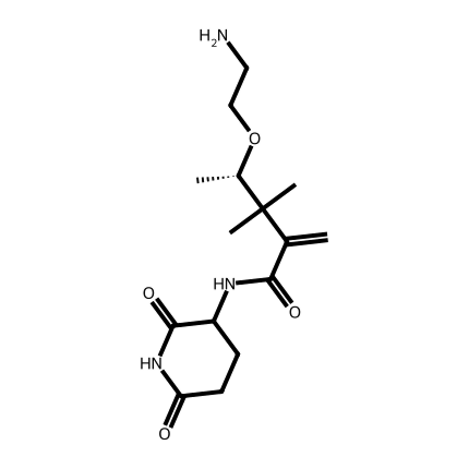 C=C(C(=O)NC1CCC(=O)NC1=O)C(C)(C)[C@H](C)OCCN